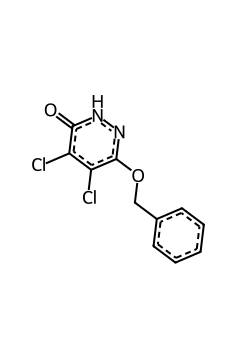 O=c1[nH]nc(OCc2ccccc2)c(Cl)c1Cl